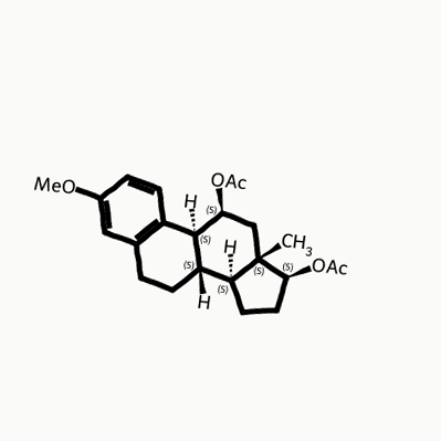 COc1ccc2c(c1)CC[C@@H]1[C@@H]2[C@@H](OC(C)=O)C[C@]2(C)[C@@H](OC(C)=O)CC[C@@H]12